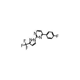 Fc1ccc(-c2c[c]nc(-n3ccc(C(F)(F)F)n3)n2)cc1